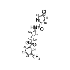 CC(C)([C@H]1C[C@H](NC(=O)c2ccc(Cl)cn2)C1)S(=O)(=O)c1cccc(C(F)(F)F)c1